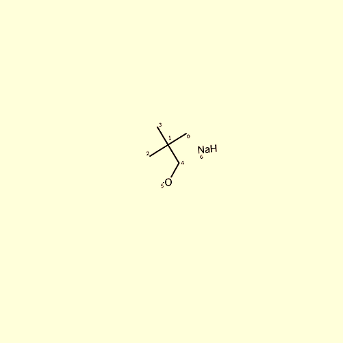 CC(C)(C)C[O].[NaH]